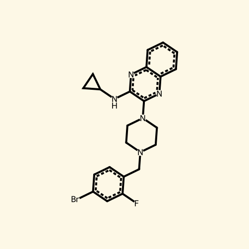 Fc1cc(Br)ccc1CN1CCN(c2nc3ccccc3nc2NC2CC2)CC1